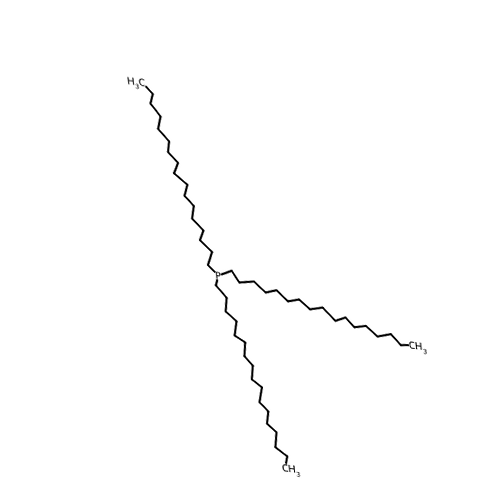 CCCCCCCCCCCCCCCCCP(CCCCCCCCCCCCCCCCC)CCCCCCCCCCCCCCCCC